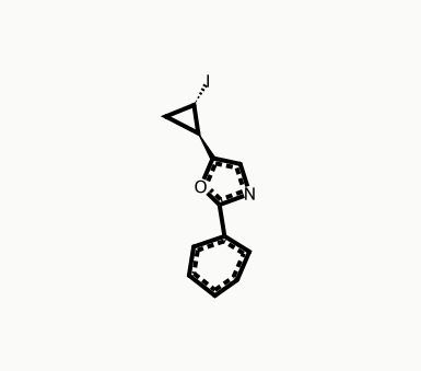 I[C@H]1C[C@@H]1c1cnc(-c2ccccc2)o1